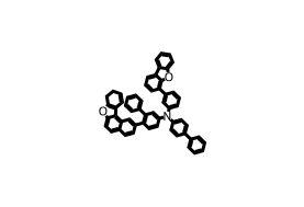 C1=Cc2c(oc3ccc4ccc(-c5ccc(N(c6ccc(-c7ccccc7)cc6)c6cccc(-c7cccc8c7oc7ccccc78)c6)cc5-c5ccccc5)cc4c23)CC1